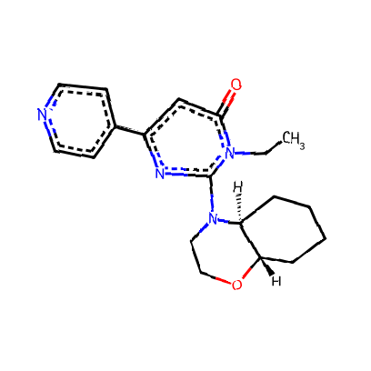 CCn1c(N2CCO[C@H]3CCCC[C@@H]32)nc(-c2ccncc2)cc1=O